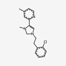 Cc1ccnc(C2=CN(CCc3ccccc3Cl)CN2C)c1